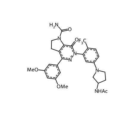 COc1cc(OC)cc(-c2nn(-c3cc(N4CCC(NC(C)=O)C4)ccc3C(F)(F)F)c(=O)c3c2CCN3C(N)=O)c1